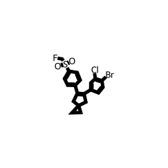 O=S(=O)(CF)c1ccc(C2=C(c3ccc(Br)c(Cl)c3)CC3(CC3)C2)cc1